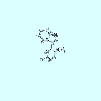 Cc1cnc(Cl)nc1-c1cnc2ccccn12